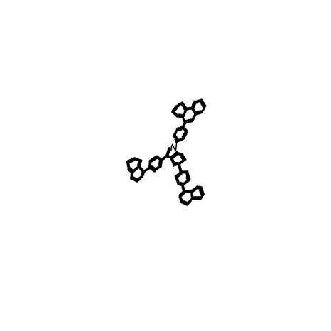 c1ccc2c(-c3ccc(-c4ccc5c(c4)c(-c4ccc(-c6cccc7ccccc67)cc4)cn5-c4ccc(-c5cc6ccccc6c6ccccc56)cc4)cc3)cccc2c1